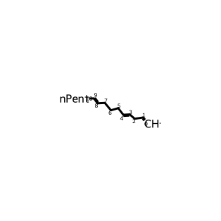 [CH]=CCC=CCCCC=CCCCCC